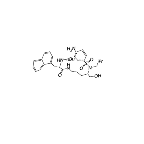 CCCCN[C@@H](Cc1cccc2ccccc12)C(=O)NCCCC(CO)N(CC(C)C)S(=O)(=O)c1ccc(N)cc1